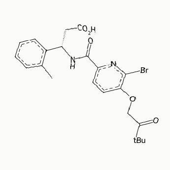 Cc1ccccc1[C@H](CC(=O)O)NC(=O)c1ccc(OCC(=O)C(C)(C)C)c(Br)n1